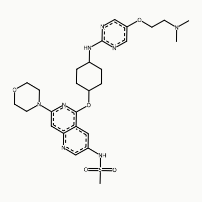 CN(C)CCOc1cnc(NC2CCC(Oc3nc(N4CCOCC4)cc4ncc(NS(C)(=O)=O)cc34)CC2)nc1